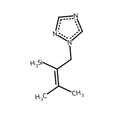 CC(C)=C([SiH3])Cn1cncn1